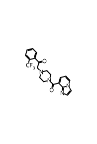 O=C(CN1CCN(C(=O)c2cccn3ccnc23)CC1)c1ccccc1C(F)(F)F